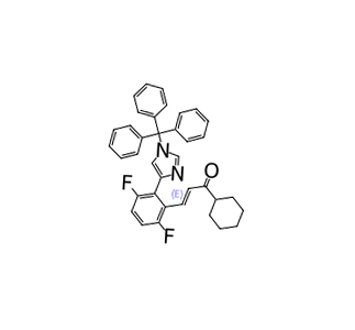 O=C(/C=C/c1c(F)ccc(F)c1-c1cn(C(c2ccccc2)(c2ccccc2)c2ccccc2)cn1)C1CCCCC1